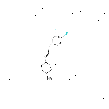 CCC[C@H]1CC[C@H](/C=C/[CH]c2ccc(F)c(F)c2)CC1